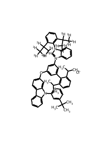 [2H]C([2H])([2H])C([2H])(c1cccc(C([2H])(C([2H])([2H])[2H])C([2H])([2H])[2H])c1-n1c[n+](-c2cc(Oc3ccc4c5ccccc5n(-c5cc(C(C)(C)C)ccn5)c4c3)cc(-c3c(C(C)C)cccc3C(C)C)c2)c2ccccc21)C([2H])([2H])[2H].[Cl-]